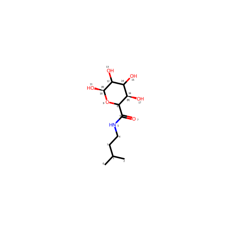 CC(C)CCNC(=O)C1O[C@@H](O)C(O)C(O)[C@H]1O